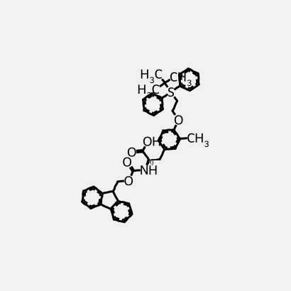 Cc1cc(C[C@@H](NC(=O)OCC2c3ccccc3-c3ccccc32)C(=O)O)ccc1OCCS(c1ccccc1)(c1ccccc1)C(C)(C)C